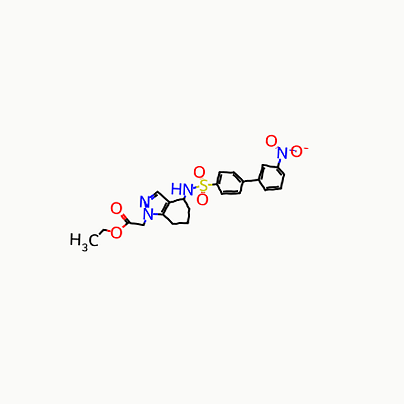 CCOC(=O)Cn1ncc2c1CCCC2NS(=O)(=O)c1ccc(-c2cccc([N+](=O)[O-])c2)cc1